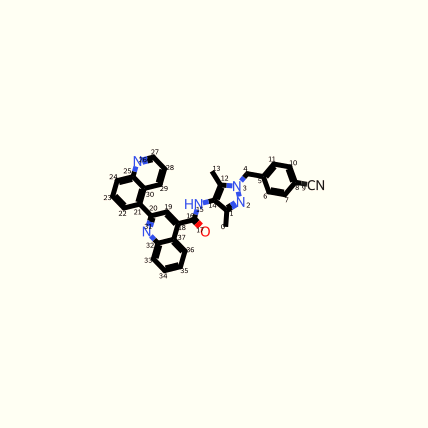 Cc1nn(Cc2ccc(C#N)cc2)c(C)c1NC(=O)c1cc(-c2cccc3ncccc23)nc2ccccc12